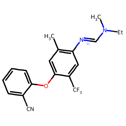 CCN(C)/C=N/c1cc(C(F)(F)F)c(Oc2ccccc2C#N)cc1C